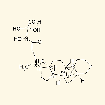 C[C@H](CCC(=O)N(O)C(O)(O)C(=O)O)[C@H]1CC[C@H]2[C@@H]3CC[C@@H]4CCCC[C@]4(C)[C@H]3CC[C@]12C